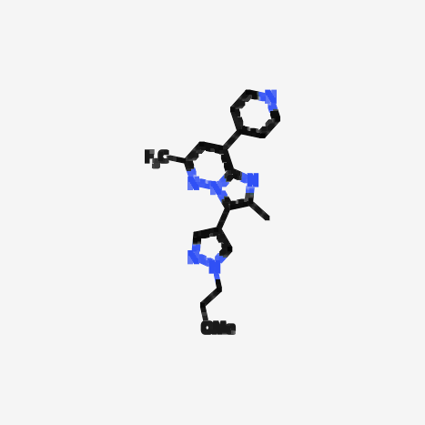 COCCn1cc(-c2c(C)nc3c(-c4ccncc4)cc(C(F)(F)F)nn23)cn1